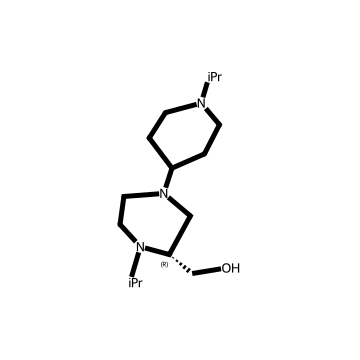 CC(C)N1CCC(N2CCN(C(C)C)[C@@H](CO)C2)CC1